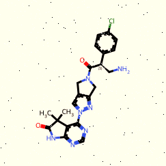 CC1(C)C(=O)Nc2ncnc(-n3cc4c(n3)CN(C(=O)[C@H](CN)c3ccc(Cl)cc3)C4)c21